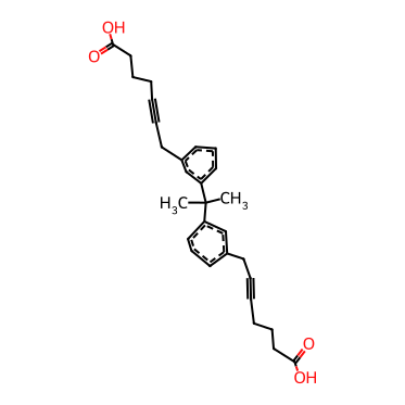 CC(C)(c1cccc(CC#CCCCC(=O)O)c1)c1cccc(CC#CCCCC(=O)O)c1